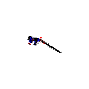 CCCCCCCCCCCCCCCCCCOCCOC(=O)n1cc2cc(C)c(NC(=O)c3cc(OC)nn3-c3ncccc3C)c(C(=O)NC(C)C)c2n1